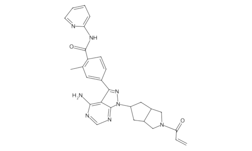 C=CC(=O)N1CC2CC(n3nc(-c4ccc(C(=O)Nc5ccccn5)c(C)c4)c4c(N)ncnc43)CC2C1